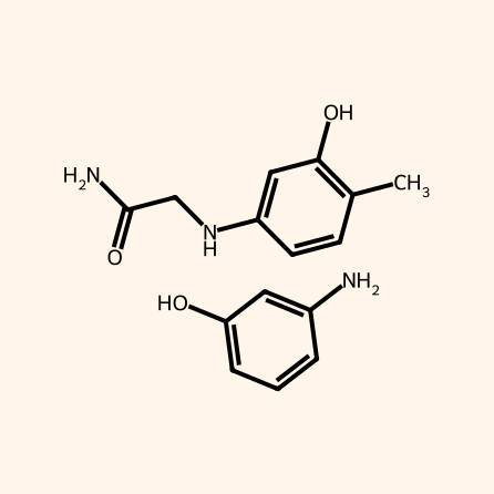 Cc1ccc(NCC(N)=O)cc1O.Nc1cccc(O)c1